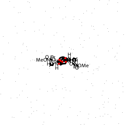 COC(=O)N[C@H](C(=O)N1C[C@H](C)C[C@H]1c1nc2cc(-c3cc4ccc3CCc3ccc(c(-c5ccc6[nH]c([C@@H]7C[C@@H](C)CN7C(=O)[C@@H](NC(=O)OC)C(C)C)nc6c5)c3)CC4)ccc2[nH]1)C(C)C